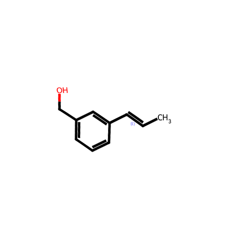 C/C=C/c1cccc(CO)c1